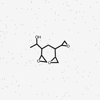 CC(O)C(CC(C1CO1)C1CO1)C1CO1